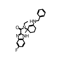 CCN(C(=O)c1nc2cc(F)ccc2[nH]1)[C@]1(C)C=C(NCc2ccccc2)CCC1